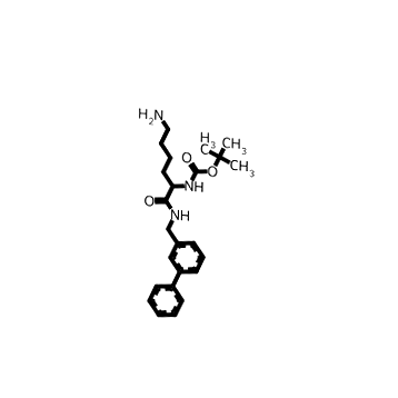 CC(C)(C)OC(=O)NC(CCCCN)C(=O)NCc1cccc(-c2ccccc2)c1